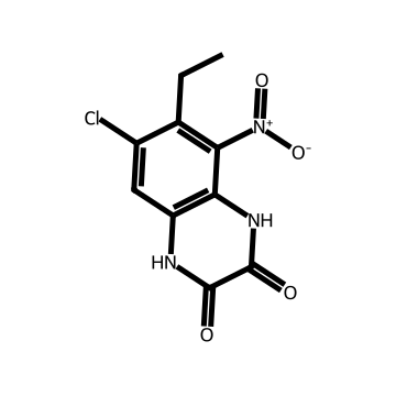 CCc1c(Cl)cc2[nH]c(=O)c(=O)[nH]c2c1[N+](=O)[O-]